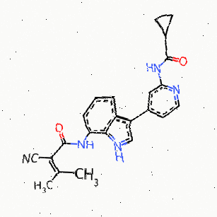 CC(C)=C(C#N)C(=O)Nc1cccc2c(-c3ccnc(NC(=O)C4CC4)c3)c[nH]c12